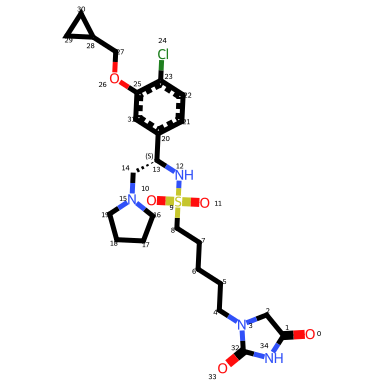 O=C1CN(CCCCCS(=O)(=O)N[C@H](CN2CCCC2)c2ccc(Cl)c(OCC3CC3)c2)C(=O)N1